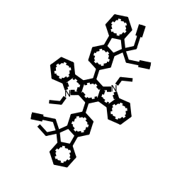 C#CCC1(CC)c2ccccc2-c2ccc(-c3c4c5ccccc5n(CC)c4c(-c4ccc5c(c4)C(CC#C)(CC#C)c4ccccc4-5)c4c5ccccc5n(CC)c34)cc21